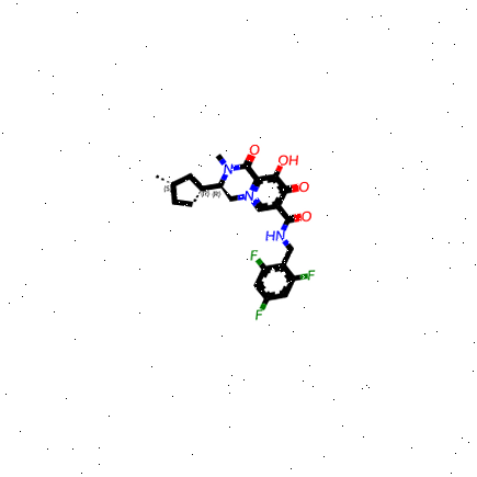 C[C@H]1CC[C@@H]([C@@H]2Cn3cc(C(=O)NCc4c(F)cc(F)cc4F)c(=O)c(O)c3C(=O)N2C)C1